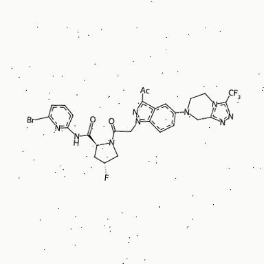 CC(=O)c1nn(CC(=O)N2C[C@H](F)C[C@H]2C(=O)Nc2cccc(Br)n2)c2ccc(N3CCn4c(nnc4C(F)(F)F)C3)cc12